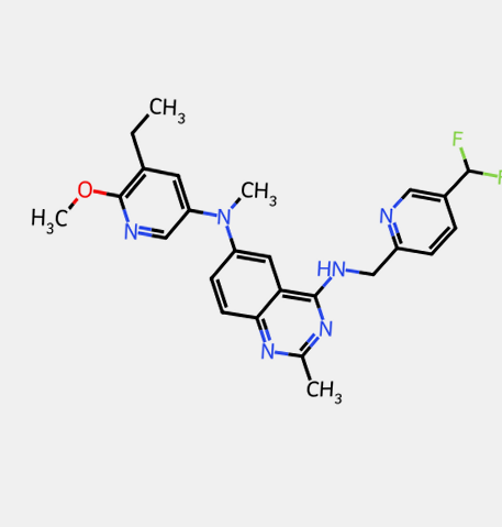 CCc1cc(N(C)c2ccc3nc(C)nc(NCc4ccc(C(F)F)cn4)c3c2)cnc1OC